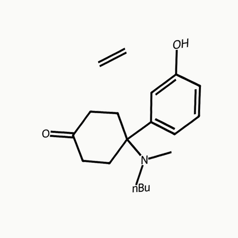 C=C.CCCCN(C)C1(c2cccc(O)c2)CCC(=O)CC1